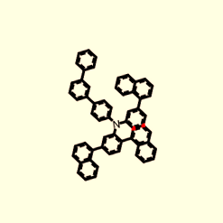 c1ccc(-c2cccc(-c3ccc(N(c4cccc(-c5cccc6ccccc56)c4)c4cc(-c5cccc6ccccc56)ccc4-c4cccc5ccccc45)cc3)c2)cc1